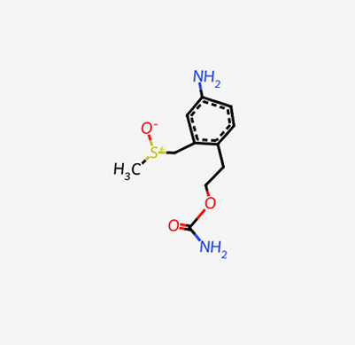 C[S+]([O-])Cc1cc(N)ccc1CCOC(N)=O